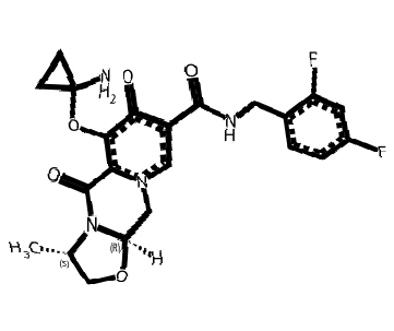 C[C@H]1CO[C@@H]2Cn3cc(C(=O)NCc4ccc(F)cc4F)c(=O)c(OC4(N)CC4)c3C(=O)N12